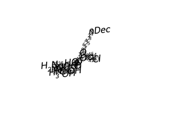 CCCCCCCCCCCCCCCCCCOC[C@H](COP(=O)(O)OCC1O[C@@](C)(c2ccc3c(N)ncnn23)[C@H](O)[C@@H]1O)OCc1ccc(Cl)cc1